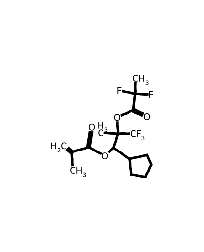 C=C(C)C(=O)OC(C1CCCC1)C(C)(OC(=O)C(C)(F)F)C(F)(F)F